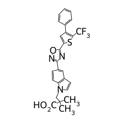 CC(C)(Cn1ccc2cc(-c3noc(-c4cc(-c5ccccc5)c(C(F)(F)F)s4)n3)ccc21)C(=O)O